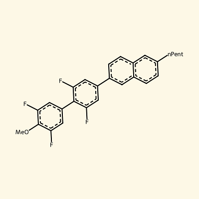 CCCCCc1ccc2cc(-c3cc(F)c(-c4cc(F)c(OC)c(F)c4)c(F)c3)ccc2c1